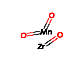 [O]=[Mn]=[O].[O]=[Zr]